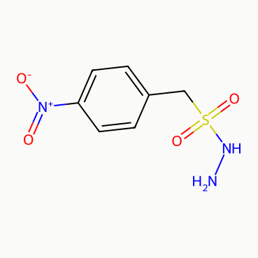 NNS(=O)(=O)Cc1ccc([N+](=O)[O-])cc1